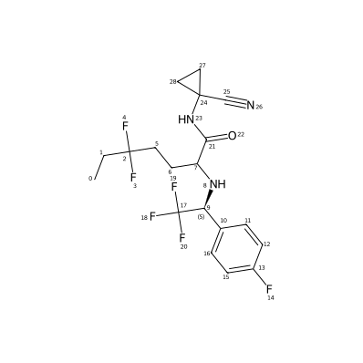 CCC(F)(F)CCC(N[C@@H](c1ccc(F)cc1)C(F)(F)F)C(=O)NC1(C#N)CC1